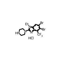 CCn1c(N2CCNCC2)nc2c(C(F)(F)F)c(Br)c(Br)cc21.Cl